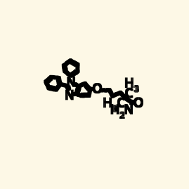 CC(C)(CCCCOc1ccc2nc(-c3ccccc3)n(-c3ccccc3)c2c1)C(N)=O